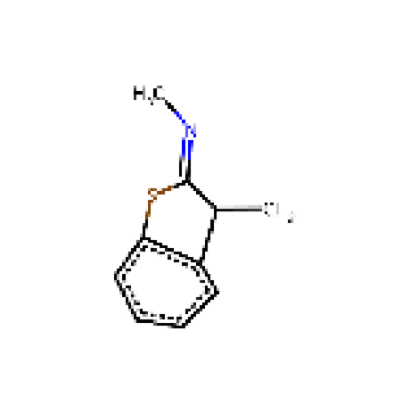 C/N=C1\Sc2ccccc2C1C